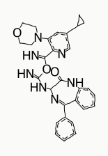 N=C(NC1N=C(c2ccccc2)c2ccccc2NC1=O)OC(=N)c1ncc(C2CC2)cc1N1CCOCC1